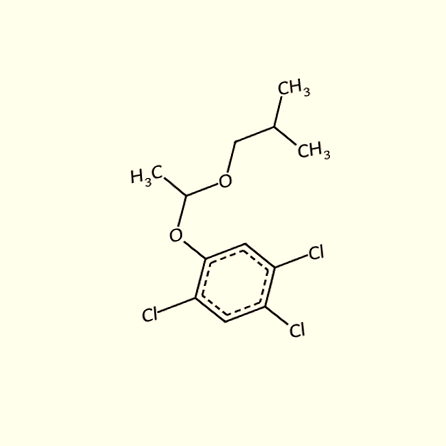 CC(C)COC(C)Oc1cc(Cl)c(Cl)cc1Cl